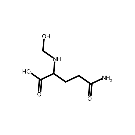 NC(=O)CCC(NCO)C(=O)O